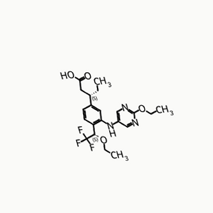 CCOc1ncc(Nc2cc([C@@H](CC)CC(=O)O)ccc2[C@H](OCC)C(F)(F)F)cn1